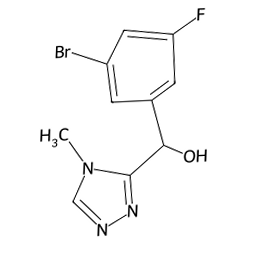 Cn1cnnc1C(O)c1cc(F)cc(Br)c1